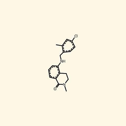 Cc1cc(Cl)ccc1CNc1cccc2c1CCN(C)C2=O